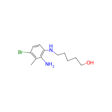 Cc1c(Br)ccc(NCCCCCO)c1N